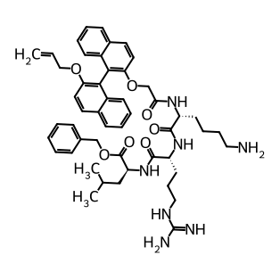 C=CCOc1ccc2ccccc2c1-c1c(OCC(=O)N[C@H](CCCCN)C(=O)N[C@H](CCCNC(=N)N)C(=O)N[C@@H](CC(C)C)C(=O)OCc2ccccc2)ccc2ccccc12